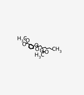 CCCCCC(CC(=O)Oc1cccc(C(=O)OC)c1)OC(C)=O